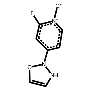 [O-][n+]1ccc(N2NC=CO2)cc1F